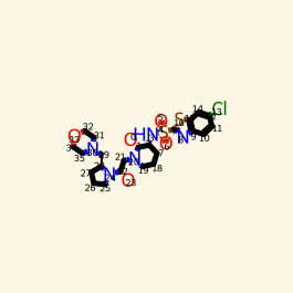 O=C1[C@@H](NS(=O)(=O)c2nc3ccc(Cl)cc3s2)CCCN1CC(=O)N1CCC[C@H]1CN1CCOCC1